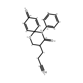 C#CCCC1COC2(C=CC(=O)C=C2)N(c2ccccc2)C1=O